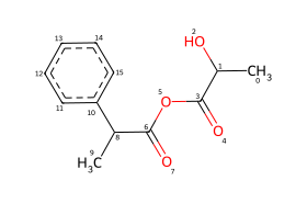 CC(O)C(=O)OC(=O)C(C)c1ccccc1